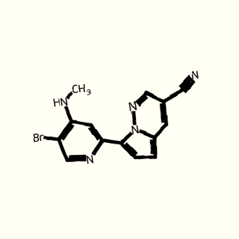 CNc1cc(-c2ccc3cc(C#N)cnn23)ncc1Br